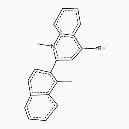 Cc1c(-c2cc(C(C)(C)C)c3ccccc3[n+]2C)ccc2ccccc12